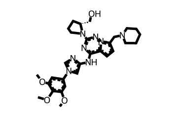 COc1cc(-n2cnc(Nc3nc(N4CCC[C@@H]4CO)nn4c(CN5CCCCC5)ccc34)c2)cc(OC)c1OC